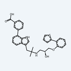 CC(C)(Cc1c[nH]c2c(-c3cccc(C(=O)O)c3)cccc12)NC[C@H](O)COc1ccccc1-c1cccs1